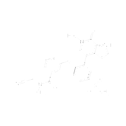 CN(CC#N)C(=O)c1cccc(Oc2ccc(S(C)(=O)=O)cc2-c2cn(C)c(=O)c3[nH]ccc23)c1